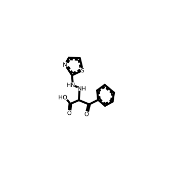 O=C(O)C(NNc1nccs1)C(=O)c1ccccc1